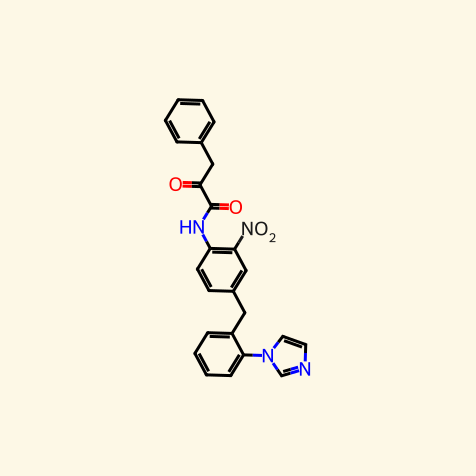 O=C(Cc1ccccc1)C(=O)Nc1ccc(Cc2ccccc2-n2ccnc2)cc1[N+](=O)[O-]